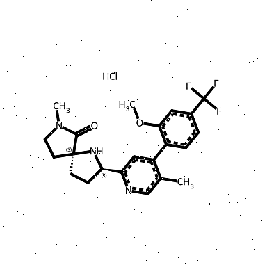 COc1cc(C(F)(F)F)ccc1-c1cc([C@H]2CC[C@@]3(CCN(C)C3=O)N2)ncc1C.Cl